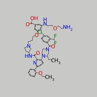 CCOc1ccccc1-c1ccc(N2CCN(C(=O)c3ccc(Cl)cc3C(F)F)CC2CC)c(C(=O)NC2CCN(CCCOc3cc(NCCOCCN)cc(C(=O)O)c3)C2)n1